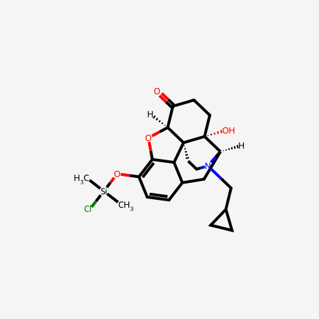 C[Si](C)(Cl)OC1=C2O[C@H]3C(=O)CC[C@@]4(O)[C@H]5CC(C=C1)C2[C@@]34CCN5CC1CC1